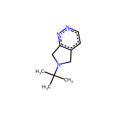 CC(C)(C)N1Cc2ccnnc2C1